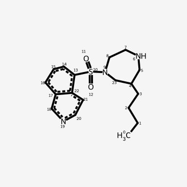 CCCCC1CNCCN(S(=O)(=O)c2cccc3cnccc23)C1